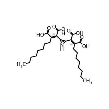 CCCCCCCC/C(C(=O)O)=C(/C(=O)O)C1=C(/C(C(=O)O)=C(\CCCCCCCC)C(=O)O)N1